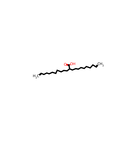 C=CCCCCCCCCCC(CCCCCCCCC=C)C(=O)O